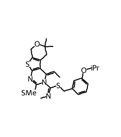 CC=C1c2c(sc3c2CC(C)(C)OC3)N=C(SC)N1/C(=N\C)SCc1cccc(OC(C)C)c1